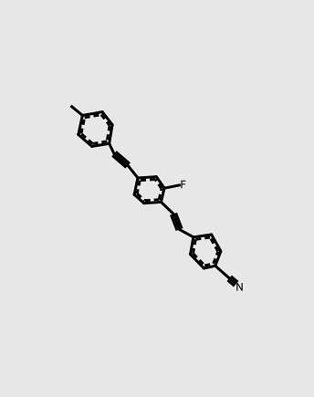 Cc1ccc(C#Cc2ccc(C#Cc3ccc(C#N)cc3)c(F)c2)cc1